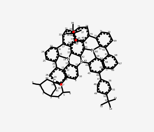 CC1CC2CC(C)N(c3ccc4c(c3)N(c3c(-c5ccccc5)cccc3-c3ccccc3)c3cc(C(C)(C)C)cc5c3B4c3cc(-c4ccc(C(C)(C)C)cc4)ccc3N5c3c(-c4ccccc4)cccc3-c3ccccc3)C(C1)C2